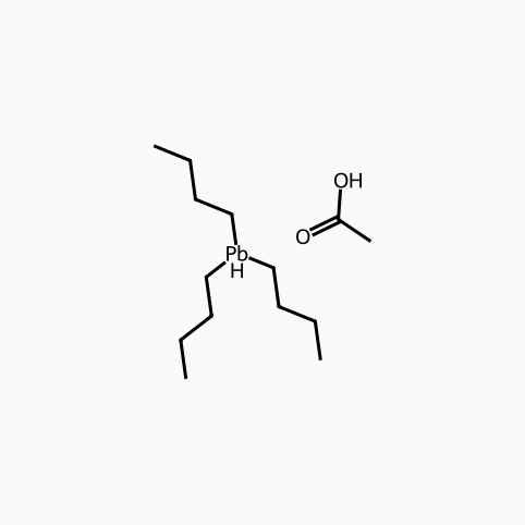 CC(=O)O.CCC[CH2][PbH]([CH2]CCC)[CH2]CCC